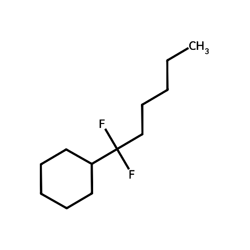 CCCCCC(F)(F)C1CCCCC1